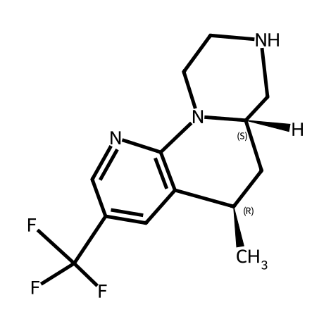 C[C@@H]1C[C@H]2CNCCN2c2ncc(C(F)(F)F)cc21